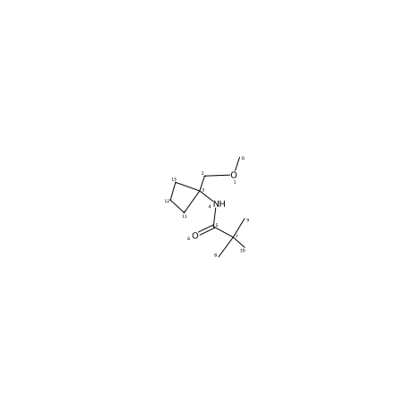 COCC1(NC(=O)C(C)(C)C)CCC1